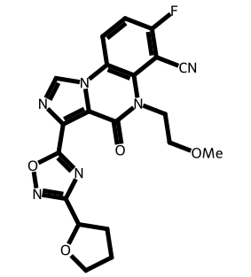 COCCn1c(=O)c2c(-c3nc(C4CCCO4)no3)ncn2c2ccc(F)c(C#N)c21